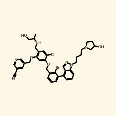 CC(CO)NCc1cc(Cl)c(OCc2cccc(-c3cccc4c3cnn4CCCCN3CCC(O)C3)c2Br)cc1OCc1cncc(C#N)c1